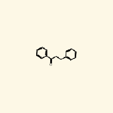 O=C(CCc1ccccc1)c1ccccc1